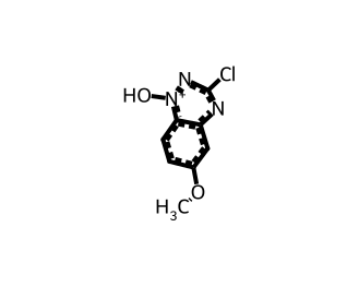 COc1ccc2c(c1)nc(Cl)n[n+]2O